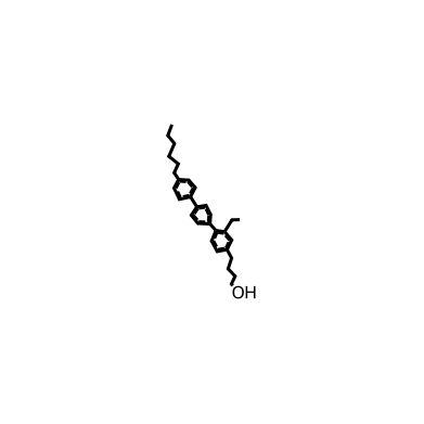 CCCCCCc1ccc(-c2ccc(-c3ccc(CCCCO)cc3CC)cc2)cc1